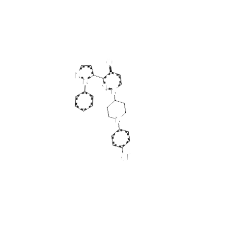 O=c1ccn(C2CCN(c3ccc(C(F)(F)F)cc3)CC2)nc1-c1ccnn1-c1ccccc1